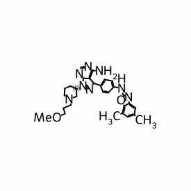 COCCCN1CCC[C@H](n2nc(-c3ccc(Nc4nc5cc(C)cc(C)c5o4)cc3)c3c(N)ncnc32)C1